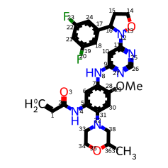 C=CC(=O)Nc1cc(Nc2cc(N3OCCC3c3cc(F)cc(F)c3)ncn2)c(OC)cc1N1CCOC(C)C1